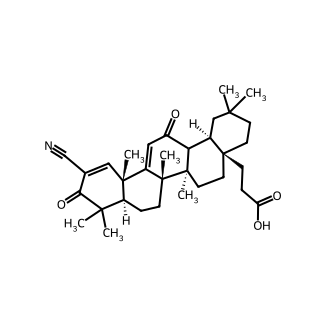 CC1(C)CC[C@]2(CCC(=O)O)CC[C@]3(C)C(C(=O)C=C4[C@@]5(C)C=C(C#N)C(=O)C(C)(C)[C@@H]5CC[C@]43C)[C@H]2C1